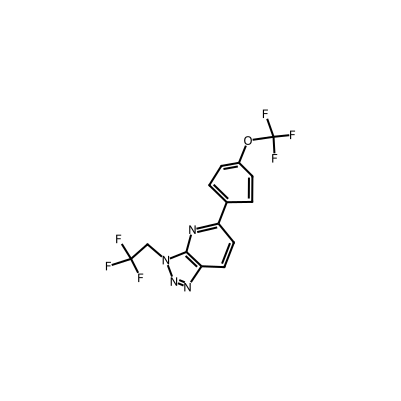 FC(F)(F)Cn1nnc2ccc(-c3ccc(OC(F)(F)F)cc3)nc21